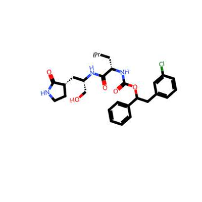 CC(C)C[C@H](NC(=O)OC(Cc1cccc(Cl)c1)c1ccccc1)C(=O)N[C@H](CO)C[C@@H]1CCNC1=O